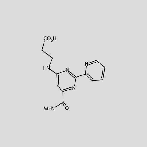 CNC(=O)c1cc(NCCC(=O)O)nc(-c2ccccn2)n1